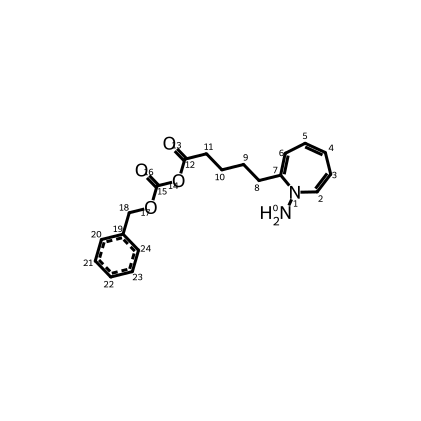 NN1C=CC=CC=C1CCCCC(=O)OC(=O)OCc1ccccc1